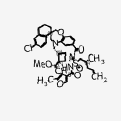 C=CC[C@H](C)CS(=O)(=NC(=O)c1ccc2c(c1)N(C[C@@H]1CC[C@H]1[C@H](C)OC)C[C@@]1(CCCc3cc(Cl)ccc31)CO2)NC(=O)c1coc(C)c1